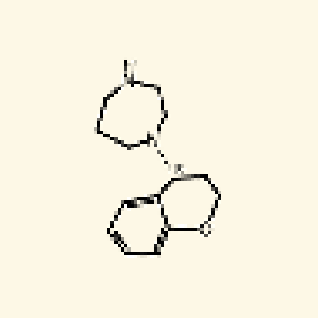 c1ccc2c(c1)OCC[C@H]2N1CCCNCC1